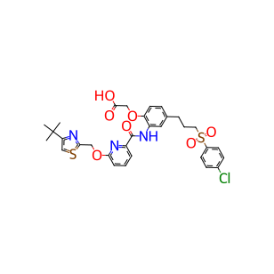 CC(C)(C)c1csc(COc2cccc(C(=O)Nc3cc(CCCS(=O)(=O)c4ccc(Cl)cc4)ccc3OCC(=O)O)n2)n1